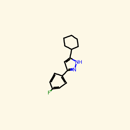 Fc1ccc(-c2cc(C3CCCCC3)[nH]n2)cc1